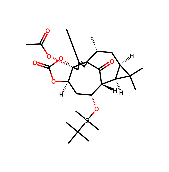 CC(=O)O[C@H]1C(C)=C[C@@]23C(=O)[C@H]([C@H]4[C@@H](C[C@H]2C)C4(C)C)[C@H](O[Si](C)(C)C(C)(C)C)C[C@H]2OC(=O)O[C@@]213